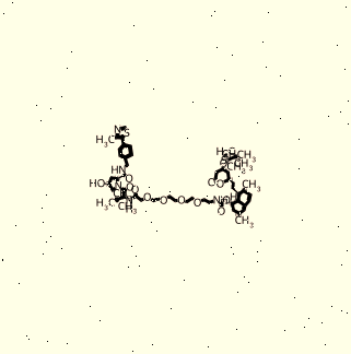 Cc1ncsc1-c1ccc(CNC(=O)[C@@H]2C[C@@H](O)CN2C(=O)[C@@H](NC(=O)COCCOCCOCCOCCNC(=O)O[C@H]2C[C@@H](C)C=C3C=C[C@H](C)[C@H](CC[C@@H]4C[C@@H](O[Si](C)(C)C(C)(C)C)CC(=O)O4)[C@H]32)C(C)(C)C)cc1